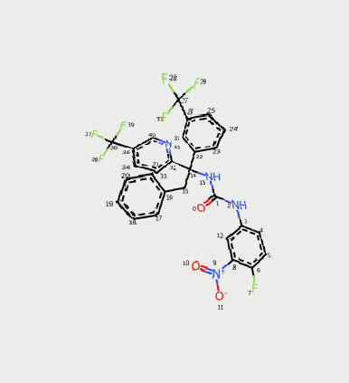 O=C(Nc1ccc(F)c([N+](=O)[O-])c1)NC(Cc1ccccc1)(c1cccc(C(F)(F)F)c1)c1ccc(C(F)(F)F)cn1